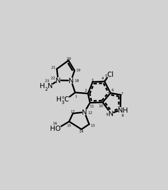 CC(c1cc(Cl)c2c[nH]nc2c1N1CCC(O)C1)N1C=CCN1N